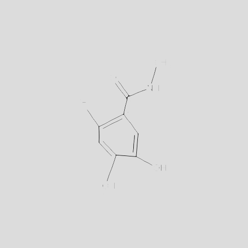 CNC(=O)c1cc(O)c(O)cc1F